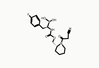 N#CCC(=O)N1CCCC[C@@H]1COC(=O)N[C@@H](Cc1ccc(F)cc1)B(O)O